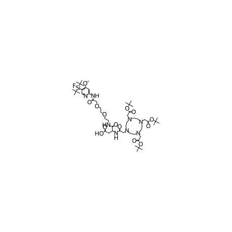 COc1cc(NC(=O)COCCOCCNC(=O)C(CC(=O)O)NC(=O)CN2CCN(CC(=O)OC(C)(C)C)CCN(CC(=O)OC(C)(C)C)CCN(CC(=O)OC(C)(C)C)CC2)ncc1[Si](F)(C(C)(C)C)C(C)(C)C